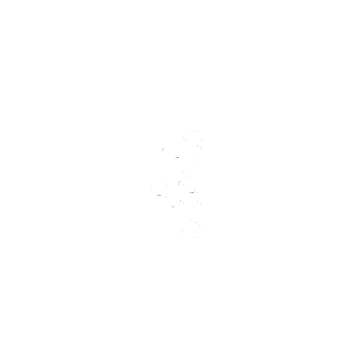 CC(C)O[C@@H](c1ncc(Cl)cn1)[C@H](C)S(=O)(=O)Nc1nnc2n1[C@H](c1ccc(F)cc1F)COc1cccnc1-2